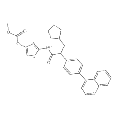 COC(=O)Oc1csc(NC(=O)C(CC2CCCC2)c2ccc(-c3cccc4ccccc34)cc2)n1